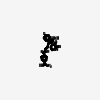 N=C(N)c1ccc(C(=O)NCCCC(CC(=O)O)(c2ccc(F)cc2)N2CCNC(=O)C2=O)cc1